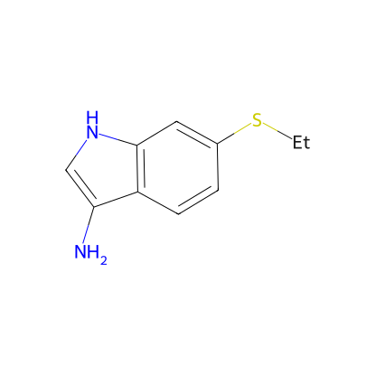 CCSc1ccc2c(N)c[nH]c2c1